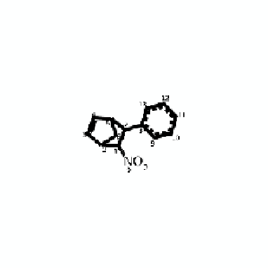 O=[N+]([O-])C1C2C=CC(C2)C1c1ccccc1